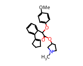 COc1ccc(OC(C(=O)OC2CCN(C)C2)c2ccccc2C2=CCCC2)cc1